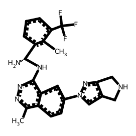 Cc1c([C@@H](N)Nc2nnc(C)c3ccc(-n4cc5c(n4)CNC5)cc23)cccc1C(F)(F)F